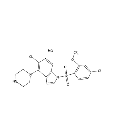 Cl.O=S(=O)(c1ccc(Cl)cc1OC(F)(F)F)n1ccc2c(N3CCNCC3)c(Cl)ccc21